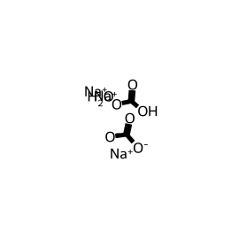 O.O=C([O-])O.O=C([O-])[O-].[Na+].[Na+].[Na+]